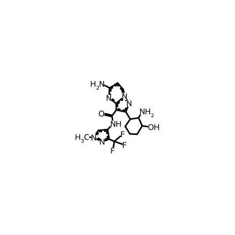 Cn1cc(NC(=O)c2c(C3CCCC(O)C3N)nn3ccc(N)nc23)c(C(F)(F)F)n1